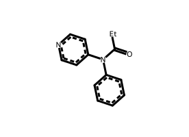 CCC(=O)N(c1ccccc1)c1ccncc1